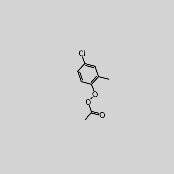 CC(=O)OOc1ccc(Cl)cc1C